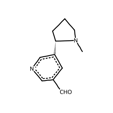 CN1CCC[C@H]1c1cncc(C=O)c1